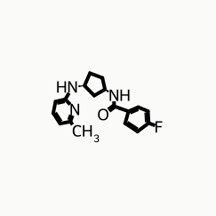 Cc1cccc(N[C@@H]2CC[C@H](NC(=O)c3ccc(F)cc3)C2)n1